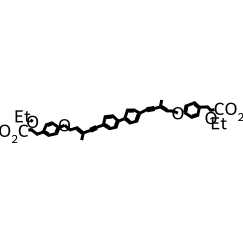 CCOC(=O)C(Cc1ccc(OC/C=C(\C)C#Cc2ccc(-c3ccc(C#C/C(C)=C/COc4ccc(CC(OCC)C(=O)OCC)cc4)cc3)cc2)cc1)OCC